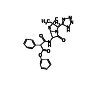 CC1(C)SC2C(NC(=O)C(C(=O)Oc3ccccc3)c3ccccc3)C(=O)N2C1c1nnn[nH]1